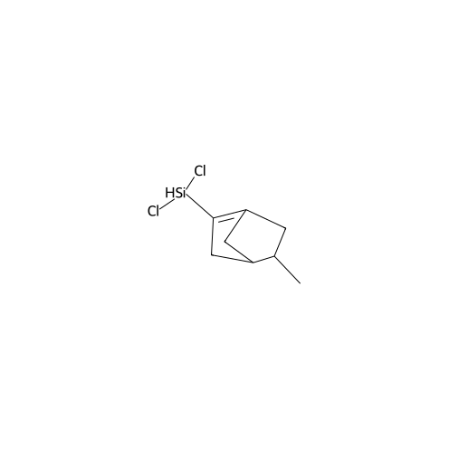 CC1CC2=C([SiH](Cl)Cl)CC1C2